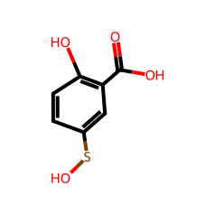 O=C(O)c1cc(SO)ccc1O